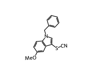 COc1ccc2c(c1)c(SC#N)cn2Cc1ccccc1